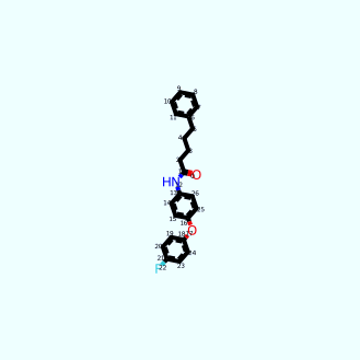 O=C(CCCCc1ccccc1)Nc1ccc(Oc2ccc(F)cc2)cc1